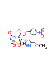 COCc1cn(C[C@@]2(C)[C@H](C(=O)OCc3ccc([N+](=O)[O-])cc3)N3C(=O)C[C@@H]3S2(=O)=O)nn1